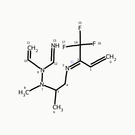 C=C/C(=N\CC(C)N(C)N(C=C)C=N)C(F)(F)F